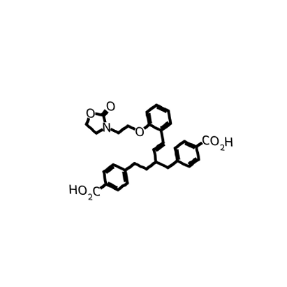 O=C(O)c1ccc(CCC(/C=C/c2ccccc2OCCN2CCOC2=O)Cc2ccc(C(=O)O)cc2)cc1